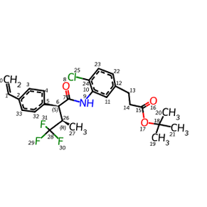 C=Cc1ccc([C@@H](C(=O)Nc2cc(CCC(=O)OC(C)(C)C)ccc2Cl)[C@@H](C)C(F)(F)F)cc1